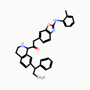 Cc1ccccc1Nc1nc2ccc(CC(=O)C3NCCc4ccc(C(CC(=O)O)c5ccccc5)cc43)cc2o1